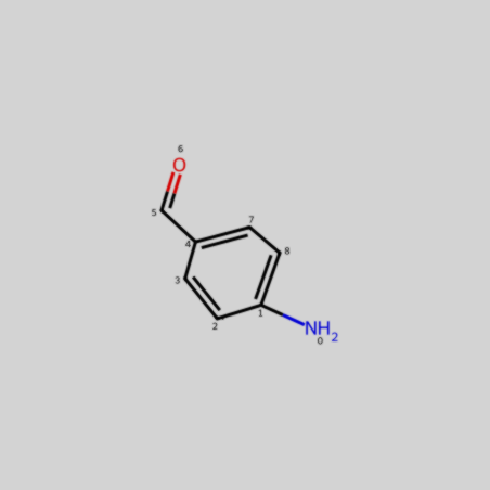 Nc1[c]cc(C=O)cc1